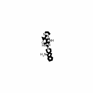 N[C@@H]1c2ccccc2CC12CCN(c1nc3[nH]nc(C4(c5ncccn5)CC4)c3c(=O)[nH]1)CC2